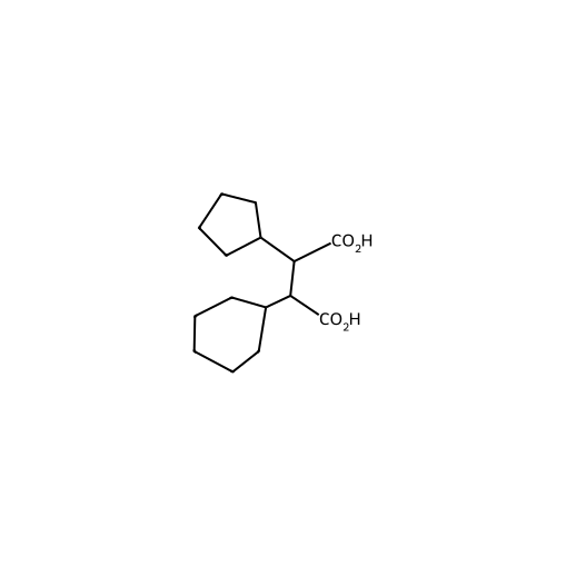 O=C(O)C(C1CCCCC1)C(C(=O)O)C1CCCC1